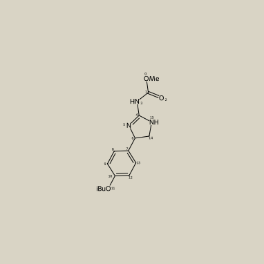 COC(=O)NC1=NC(c2ccc(OCC(C)C)cc2)CN1